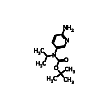 CC(C)N(C(=O)OC(C)(C)C)c1ccc(N)nc1